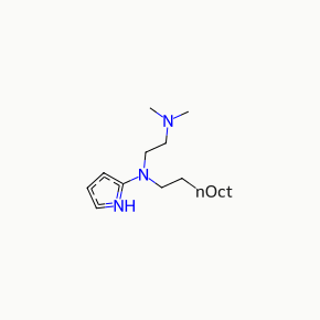 CCCCCCCCCCN(CCN(C)C)c1ccc[nH]1